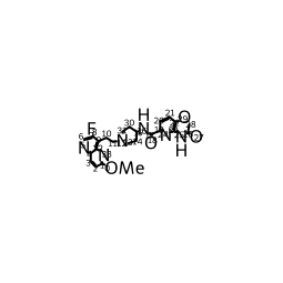 COc1ccc2ncc(F)c(CCN3CCC(NC(=O)c4ccc5c(n4)NC(=O)CO5)CC3)c2n1